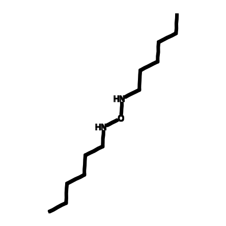 CCCCCCNONCCCCCC